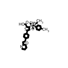 CCOP(=O)(c1ccc(C)cc1)N(C)c1cc(-c2ccc(-c3cc4ncccc4o3)cc2)sc1C(=O)O